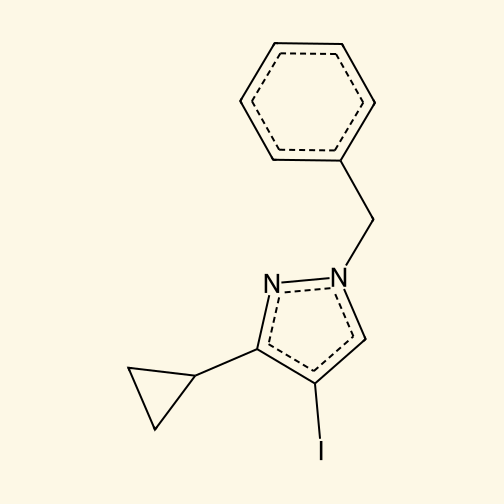 Ic1cn(Cc2ccccc2)nc1C1CC1